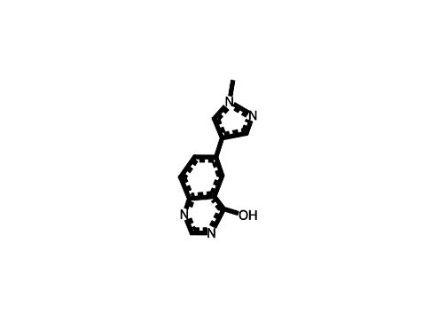 Cn1cc(-c2ccc3ncnc(O)c3c2)cn1